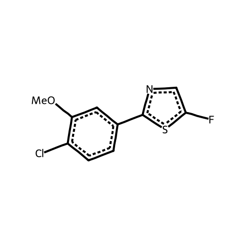 COc1cc(-c2ncc(F)s2)ccc1Cl